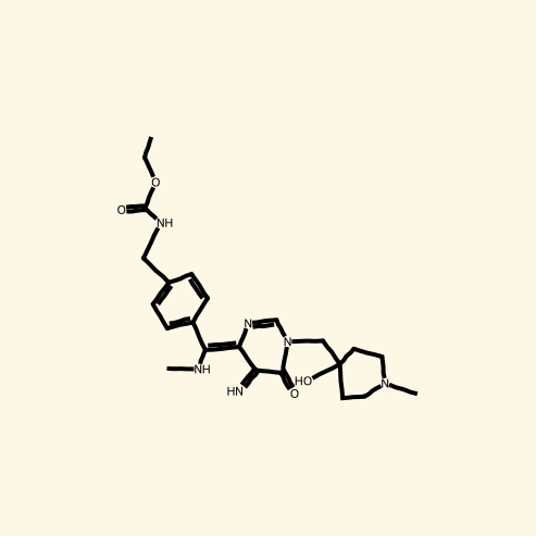 CCOC(=O)NCc1ccc(/C(NC)=C2\N=CN(CC3(O)CCN(C)CC3)C(=O)C2=N)cc1